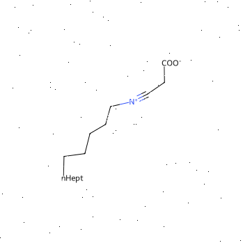 CCCCCCCCCCCC[N+]#CCC(=O)[O-]